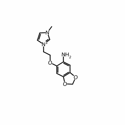 Cn1cc[n+](CCOc2cc3c(cc2N)OCO3)c1